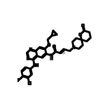 O=C(/C=C/CN1CCC2(CCCC(=O)O2)CC1)Nc1cc2c(Nc3ccc(F)c(Cl)c3)ncnc2cc1OCC1CC1